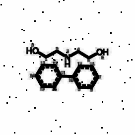 OCCNCCO.c1ccc(-c2ccccc2)cc1